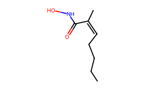 CCCCC=C(C)C(=O)NO